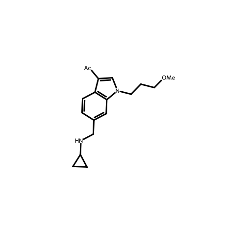 COCCCn1cc(C(C)=O)c2ccc(CNC3CC3)cc21